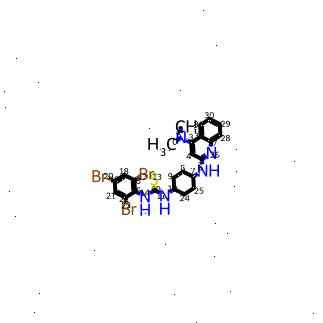 CN(C)c1cc(NC2CCC(NC(=S)Nc3c(Br)cc(Br)cc3Br)CC2)nc2ccccc12